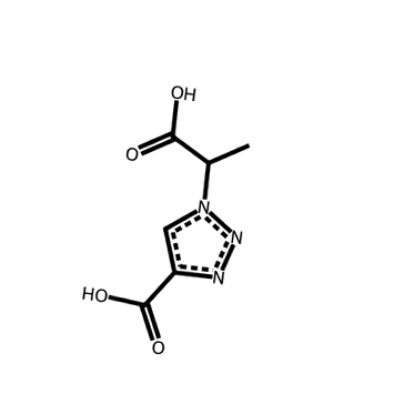 CC(C(=O)O)n1cc(C(=O)O)nn1